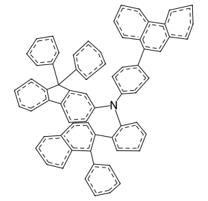 c1ccc(-c2c(-c3ccccc3N(c3ccc(-c4cc5ccccc5c5ccccc45)cc3)c3ccc4c(c3)C(c3ccccc3)(c3ccccc3)c3ccccc3-4)ccc3ccccc23)cc1